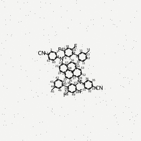 [C-]#[N+]c1ccc(N(c2cc(-c3cccc(C)c3)c(F)cc2F)c2ccc3ccc4c(N(c5ccc(C#N)cc5)c5cc(-c6cccc(C)c6)c(F)cc5F)ccc5ccc2c3c54)cc1